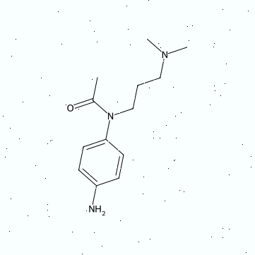 CC(=O)N(CCCN(C)C)c1ccc(N)cc1